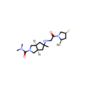 CN(C)C(=O)N1C[C@@H]2CC(C)(NCC(=O)N3C[C@@H](F)C[C@H]3C#N)C[C@@H]2C1